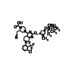 CN1C[C@H](O[Si](C)(C)C(C)(C)C)C[C@H]1COc1nc2c(c(N3CCN(C(=O)O)C(CC#N)C3)n1)CCN(c1cccc(Cl)c1C(F)(F)F)C2